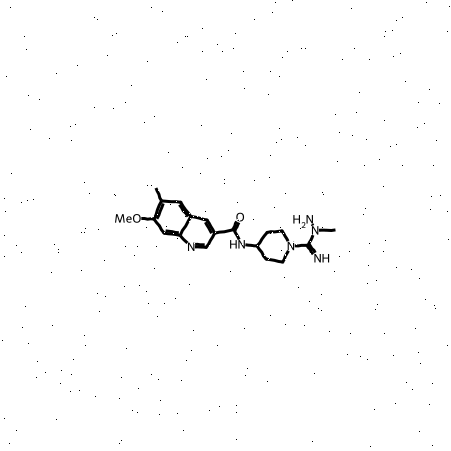 COc1cc2ncc(C(=O)NC3CCN(C(=N)N(C)N)CC3)cc2cc1C